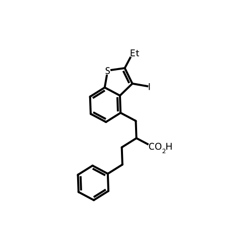 CCc1sc2cccc(CC(CCc3ccccc3)C(=O)O)c2c1I